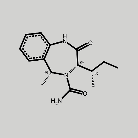 CC[C@H](C)[C@H]1C(=O)Nc2ccccc2[C@@H](C)N1C(N)=O